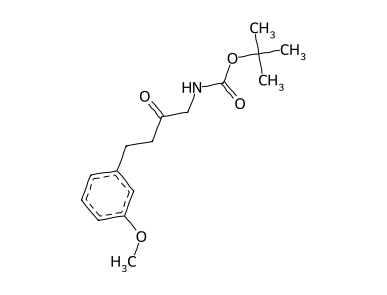 COc1cccc(CCC(=O)CNC(=O)OC(C)(C)C)c1